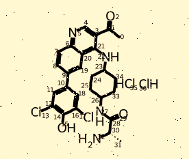 CC(=O)c1cnc2ccc(-c3cc(Cl)c(O)c(Cl)c3)cc2c1NC1CCC(NC(=O)[C@H](C)N)CC1.Cl.Cl